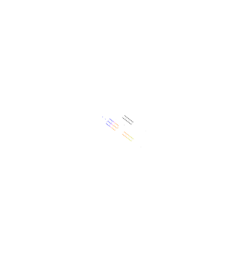 C=C.N#P=S